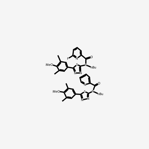 CCCCN(C(=O)c1cccc(F)n1)c1nnc(-c2cc(C)c(OC)c(C)c2)s1.CCCCN(C(=O)c1ccccn1)c1nnc(-c2cc(C)c(OC)c(C)c2)s1